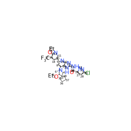 CCOCC1(CN(C)c2cc(-c3cnc(OCC)c(C(F)(F)F)c3)nc3nc(NC(=O)c4ccc(Cl)nn4)[nH]c23)CCCC1